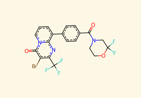 O=C(c1ccc(-c2cccn3c(=O)c(Br)c(C(F)(F)F)nc23)cc1)N1CCOC(F)(F)C1